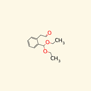 CCOC(OCC)c1ccccc1CC=O